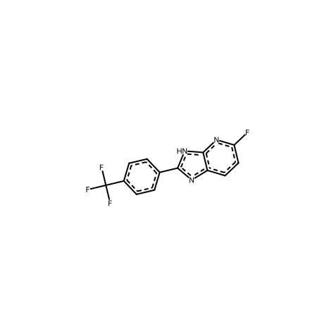 Fc1ccc2nc(-c3ccc(C(F)(F)F)cc3)[nH]c2n1